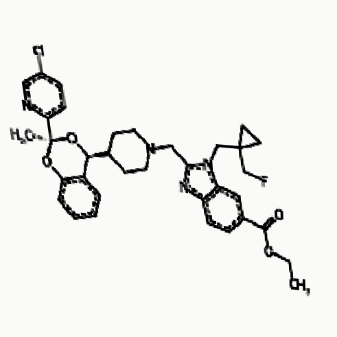 CCOC(=O)c1ccc2nc(CN3CCC([C@@H]4O[C@](C)(c5ccc(Cl)cn5)Oc5ccccc54)CC3)n(CC3(CF)CC3)c2c1